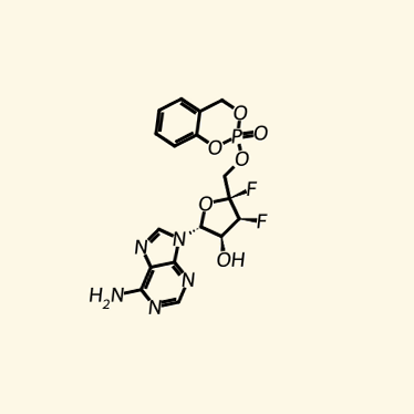 Nc1ncnc2c1ncn2[C@@H]1O[C@](F)(COP2(=O)OCc3ccccc3O2)[C@@H](F)[C@H]1O